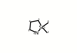 C[Si]1(C)CCC[N]1